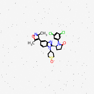 Cc1noc(C)c1-c1ccc2c(c1)nc([C@@H]1CCC(=O)N1c1cc(Cl)cc(Cl)c1)n2C1CC[S+]([O-])CC1